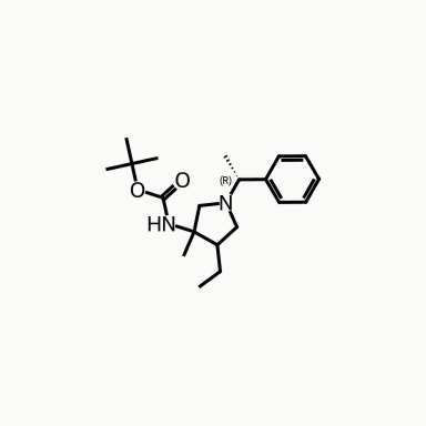 CCC1CN([C@H](C)c2ccccc2)CC1(C)NC(=O)OC(C)(C)C